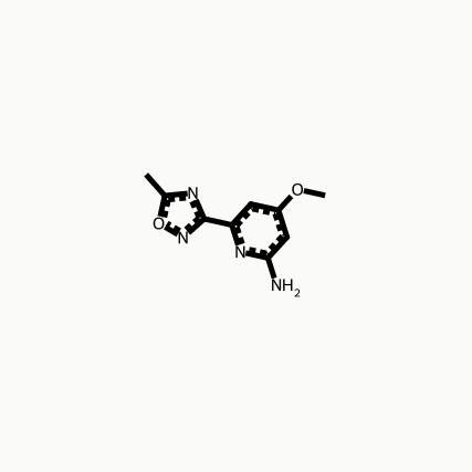 COc1cc(N)nc(-c2noc(C)n2)c1